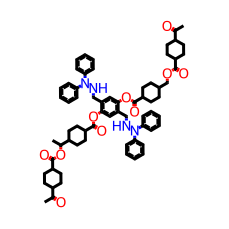 CC(=O)C1CCC(C(=O)OCC2CCC(C(=O)Oc3cc(CNN(c4ccccc4)c4ccccc4)c(OC(=O)C4CCC(C(C)OC(=O)C5CCC(C(C)=O)CC5)CC4)cc3CNN(c3ccccc3)c3ccccc3)CC2)CC1